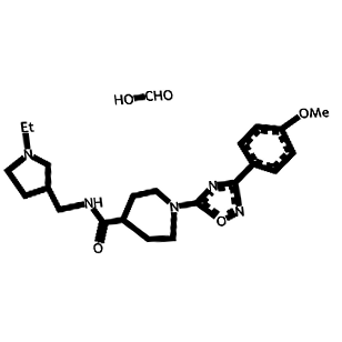 CCN1CCC(CNC(=O)C2CCN(c3nc(-c4ccc(OC)cc4)no3)CC2)C1.O=CO